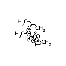 CC(=O)O.CCC(=O)CC.CO[SiH](OC)OC